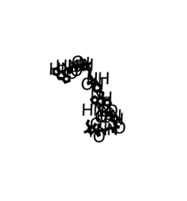 CCC1=C(C)CN(C(=O)NCCN(C)C(=O)c2cc(S(=O)(=O)NC(=O)Nc3c4c(c(Cc5cnc(C(=O)NCCc6cc(S(=O)(=O)NC(=O)Nc7c8c(cc9c7CCC9)CCC8)nn6C)cn5)c5c3CCC5)CCC4)nn2C)C1=O